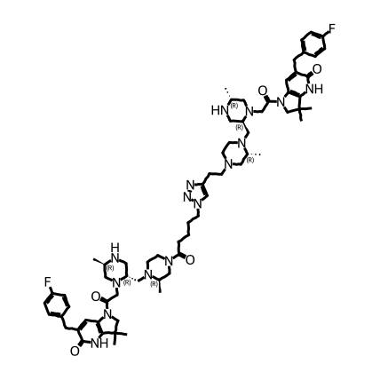 C[C@@H]1CN(CC(=O)N2CC(C)(C)c3[nH]c(=O)c(Cc4ccc(F)cc4)cc32)[C@@H](CN2CCN(CCc3cn(CCCCC(=O)N4CCN(C[C@H]5CN[C@H](C)CN5CC(=O)N5CC(C)(C)c6[nH]c(=O)c(Cc7ccc(F)cc7)cc65)[C@H](C)C4)nn3)C[C@H]2C)CN1